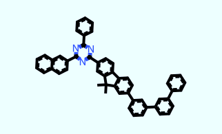 CC1(C)c2cc(-c3cccc(-c4cccc(-c5ccccc5)c4)c3)ccc2-c2ccc(-c3nc(-c4ccccc4)nc(-c4ccc5ccccc5c4)n3)cc21